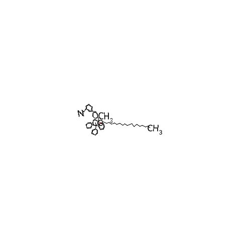 CCCCCCCCCCCCCCCCCCO[C@@H](OC(c1ccccc1)(c1ccccc1)c1ccccc1)[C@@H](C)OCc1cccc(C#N)c1